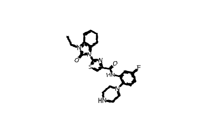 CCn1c2c(n(-c3nc(C(=O)Nc4cc(F)ccc4N4CCNCC4)cs3)c1=O)CCC=C2